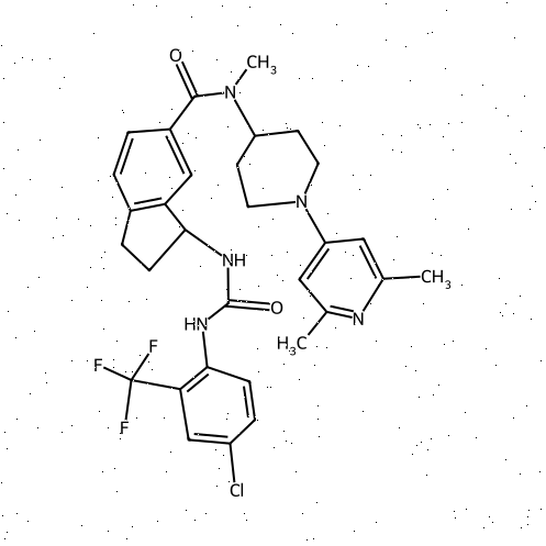 Cc1cc(N2CCC(N(C)C(=O)c3ccc4c(c3)C(NC(=O)Nc3ccc(Cl)cc3C(F)(F)F)CC4)CC2)cc(C)n1